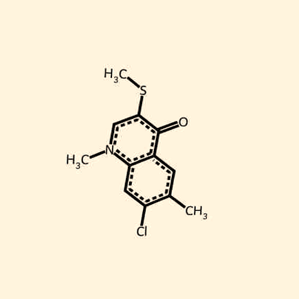 CSc1cn(C)c2cc(Cl)c(C)cc2c1=O